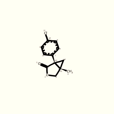 C[C@@]12COC(=O)[C@]1(c1ccc(Cl)cc1)C2